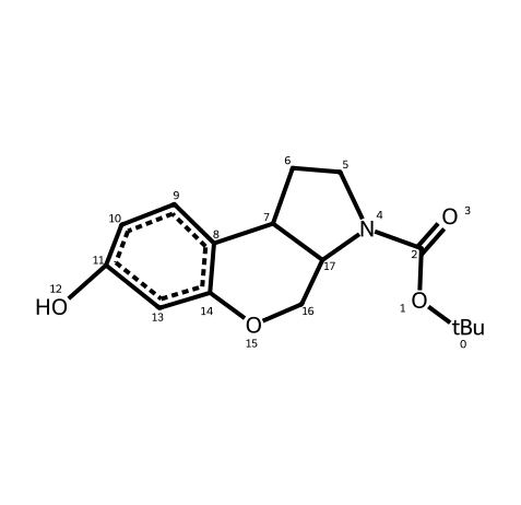 CC(C)(C)OC(=O)N1CCC2c3ccc(O)cc3OCC21